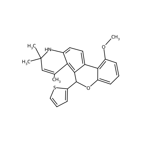 COc1cccc2c1-c1ccc3c(c1C(c1cccs1)O2)C(C)=CC(C)(C)N3